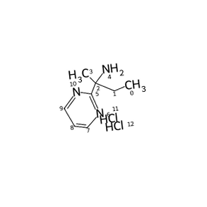 CCC(C)(N)c1ncccn1.Cl.Cl